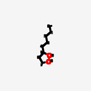 [CH2]CCCCC1CCOO1